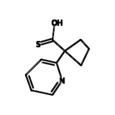 OC(=S)C1(c2ccccn2)CCC1